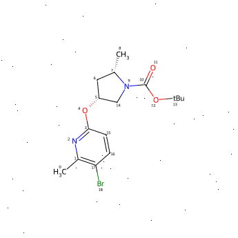 Cc1nc(O[C@@H]2C[C@H](C)N(C(=O)OC(C)(C)C)C2)ccc1Br